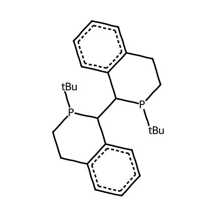 CC(C)(C)P1CCc2ccccc2C1C1c2ccccc2CCP1C(C)(C)C